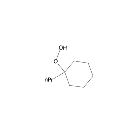 CCCC1(OO)CCCCC1